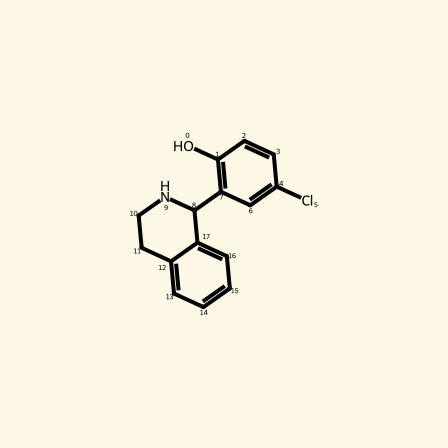 Oc1ccc(Cl)cc1C1NCCc2ccccc21